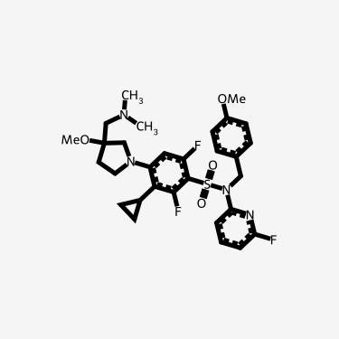 COc1ccc(CN(c2cccc(F)n2)S(=O)(=O)c2c(F)cc(N3CCC(CN(C)C)(OC)C3)c(C3CC3)c2F)cc1